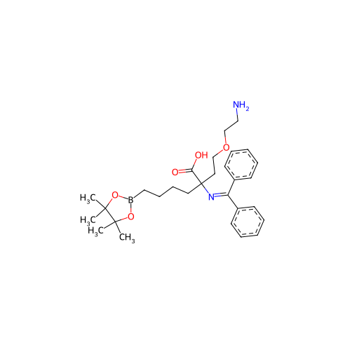 CC1(C)OB(CCCCC(CCOCCN)(N=C(c2ccccc2)c2ccccc2)C(=O)O)OC1(C)C